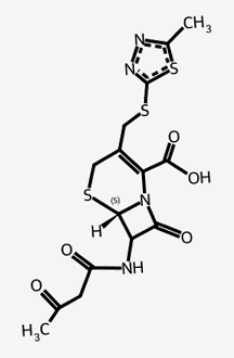 CC(=O)CC(=O)NC1C(=O)N2C(C(=O)O)=C(CSc3nnc(C)s3)CS[C@@H]12